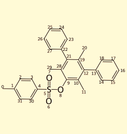 Cc1ccc(S(=O)(=O)Oc2c(C)c(-c3ccccc3)c(C)c(-c3ccccc3)c2C)cc1